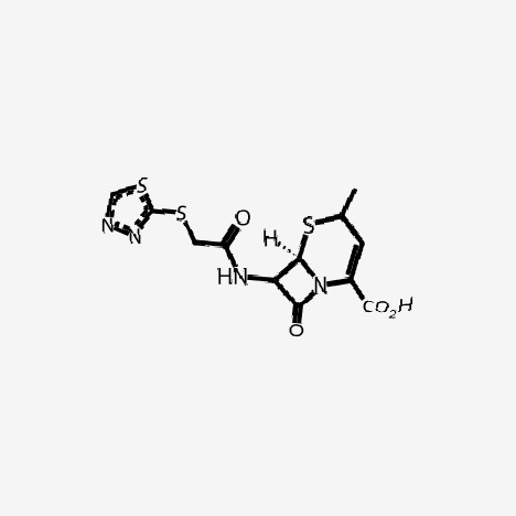 CC1C=C(C(=O)O)N2C(=O)C(NC(=O)CSc3nncs3)[C@H]2S1